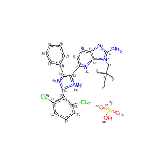 CC(C)(C)Cn1c(N)nc2ccc(-c3[nH]c(-c4c(Cl)cccc4Cl)nc3-c3ccccc3)nc21.CS(=O)(=O)O